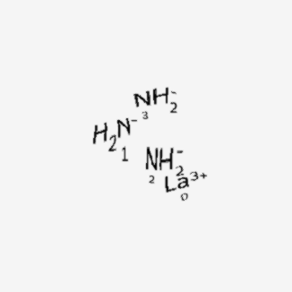 [La+3].[NH2-].[NH2-].[NH2-]